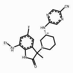 CC[AsH]c1cc(F)cc2c1NC(=O)C2(C)N1CCC[C@@H](Nc2cnc(C#N)cn2)C1